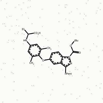 CCCCCc1nn(C(=O)OC(C)(C)C)c2ccc(Oc3c(C)cc(NC(CC)C(=O)O)cc3C)cc12